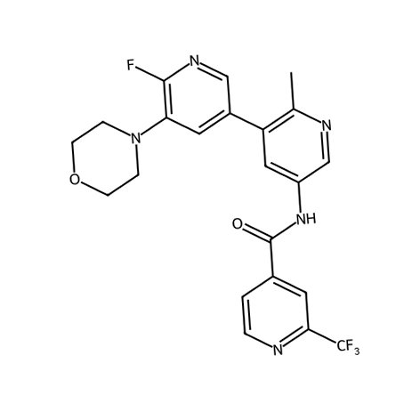 Cc1ncc(NC(=O)c2ccnc(C(F)(F)F)c2)cc1-c1cnc(F)c(N2CCOCC2)c1